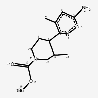 Cc1cc(N)nnc1C1CCN(C(=O)OC(C)(C)C)CC1C